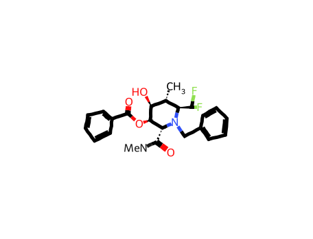 CNC(=O)[C@@H]1[C@@H](OC(=O)c2ccccc2)[C@@H](O)[C@H](C)[C@@H](C(F)F)N1Cc1ccccc1